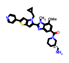 COc1cc(C(=O)N2CCC[C@@H](CN)C2)cc2nc(-c3cc4sc(-c5ccncc5)cc4n3CC3CC3)n(C)c12